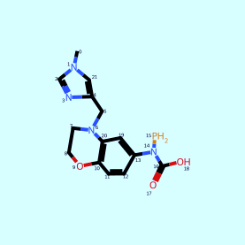 Cn1cnc(CN2CCOc3ccc(N(P)C(=O)O)cc32)c1